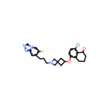 O=C1CCCc2c(OC3CC4(C3)CN(CCCc3cc5nncn5cc3F)C4)ccc(Cl)c21